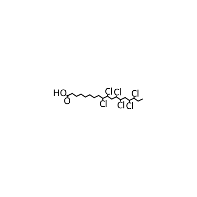 CCC(Cl)C(Cl)CC(Cl)C(Cl)CC(Cl)C(Cl)CCCCCCCC(=O)O